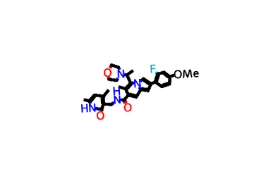 COc1ccc(-c2cc3cc(C(=O)NCc4c(C)cc(C)[nH]c4=O)c(C)c(C(C)N4CCOCC4)n3c2)c(F)c1